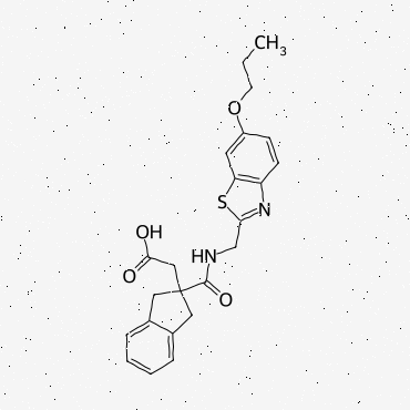 CCCOc1ccc2nc(CNC(=O)C3(CC(=O)O)Cc4ccccc4C3)sc2c1